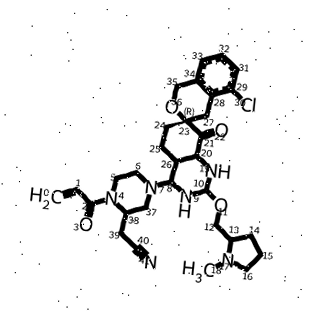 C=CC(=O)N1CCN(C2NC(OCC3CCCN3C)NC3C(=O)[C@@]4(CCC32)Cc2c(Cl)cccc2CO4)CC1CC#N